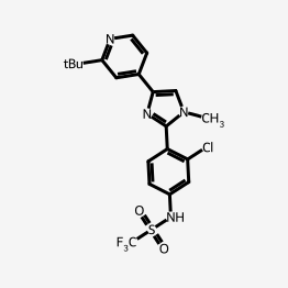 Cn1cc(-c2ccnc(C(C)(C)C)c2)nc1-c1ccc(NS(=O)(=O)C(F)(F)F)cc1Cl